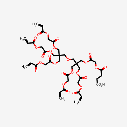 C=CC(=O)OCC(=O)OCC(COCC(COC(=O)COC(=O)C=C)(COC(=O)COC(=O)C=C)COC(=O)COC(=O)CCC(=O)O)(COC(=O)COC(=O)C=C)COC(=O)COC(=O)C=C